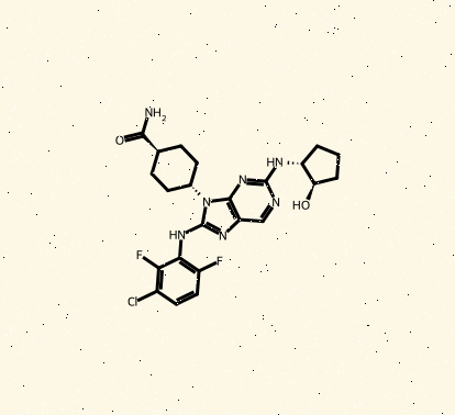 NC(=O)[C@H]1CC[C@H](n2c(Nc3c(F)ccc(Cl)c3F)nc3cnc(N[C@@H]4CCC[C@H]4O)nc32)CC1